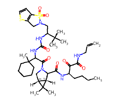 C=CCNC(=O)C(=O)C(CCCC)NC(=O)C1[C@H]2[C@@H](CN1C(=O)C(NC(=O)NC(CN1Cc3sccc3S1(=O)=O)C(C)(C)C)C1(C)CCCCC1)C2(C)C